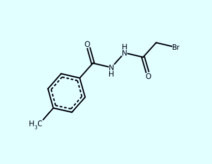 Cc1ccc(C(=O)NNC(=O)CBr)cc1